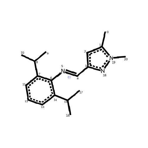 Cc1cc(/C=N/c2c(C(C)C)cccc2C(C)C)nn1C